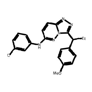 CCC(c1ccc(OC)cc1)c1nnc2ccc(Nc3cccc(Cl)c3)nn12